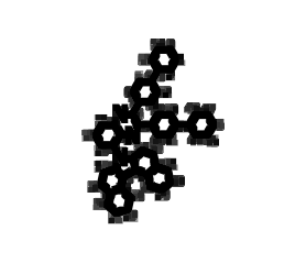 c1ccc(-c2ccc(-c3nc4cccc(-n5c6ccc7ccccc7c6c6c7ccccc7ccc65)c4nc3-c3ccc(-c4ccccc4)cc3)cc2)cc1